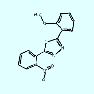 COc1ccccc1-c1nnc(-c2ccccc2[N+](=O)[O-])o1